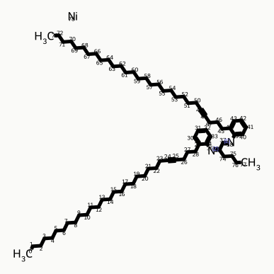 CCCCCCCCCCCCCCCCCCCCCCCCC#CCCCc1ccccc1/N=C(\C=N\c1ccccc1CCCC#CCCCCCCCCCCCCCCCCCCCCCCCC)CCCC.[Ni]